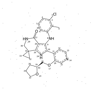 Cc1c(Cl)cccc1Nc1c(-c2ccncc2OC[C@@H]2CCCO2)[nH]c2c1C(=O)NCC21CC1